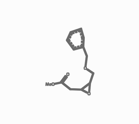 COC(=O)CC1OC1COCc1ccccc1